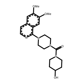 COc1cc2ccnc(N3CCN(C(=O)N4CCC(O)CC4)CC3)c2cc1OC